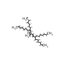 CCCCCCCC(/C=C/P(C)(=O)CC(CCCCCC)CCCCCCC)CCCCCC